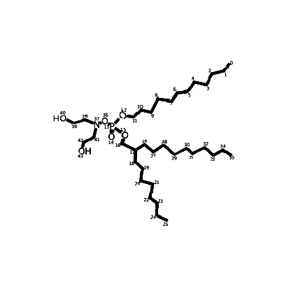 CCCCCCCCCCCCOP(=O)(OCC(CCCCCCCC)CCCCCCCCCC)ON(CCO)CCO